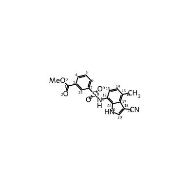 COC(=O)c1cccc(S(=O)(=O)Nc2ccc(C)c3c(C#N)c[nH]c23)c1